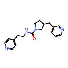 O=C(NCCc1ccncc1)N1CCC(Cc2cccnc2)C1